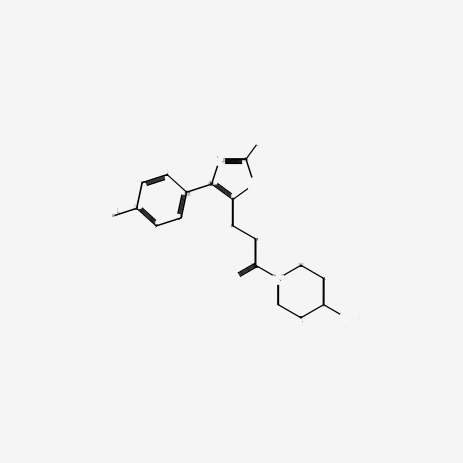 Cc1nc(-c2ccc(Cl)cc2)c(CCC(=O)N2CCC(O)CC2)o1